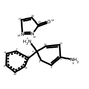 NC1=CCC(N)(c2ccccc2)C=C1.O=C1C=CN=N1